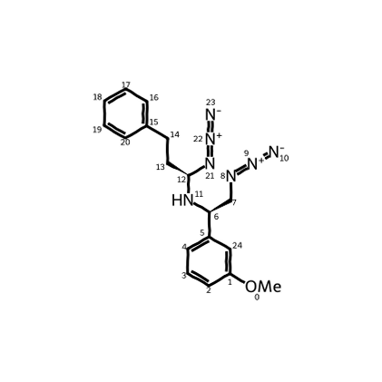 COc1cccc([C@H](CN=[N+]=[N-])N[C@@H](CCc2ccccc2)N=[N+]=[N-])c1